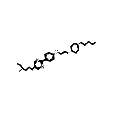 CCCCC[C@H]1CC[C@H](CCCOc2ccc(-c3ncc(CCC[C@@H](C)CC)cn3)cc2)CC1